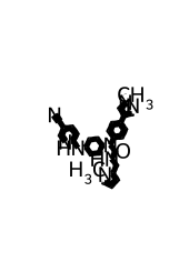 Cn1cc(-c2ccc(N(C(=O)NCc3cccn3C)C3CCC(Nc4ccc(C#N)cn4)CC3)cc2)cn1